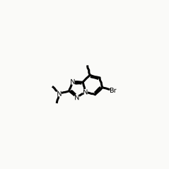 Cc1cc(Br)cn2nc(N(C)C)nc12